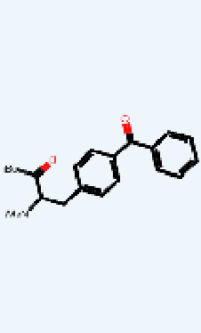 CCC(C)C(=O)C(Cc1ccc(C(=O)c2ccccc2)cc1)NC